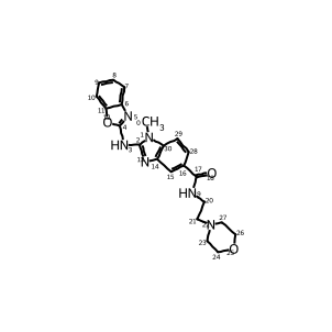 Cn1c(Nc2nc3ccccc3o2)nc2cc(C(=O)NCCN3CCOCC3)ccc21